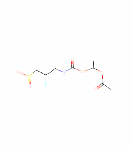 CC(OC(=O)NC[C@H](F)CS(=O)O)OC(=O)C(C)C